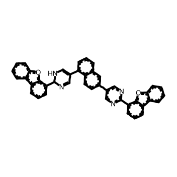 C1=NC(c2cccc3c2oc2ccccc23)NC=C1c1cccc2cc(-c3cnc(-c4cccc5c4oc4ccccc45)nc3)ccc12